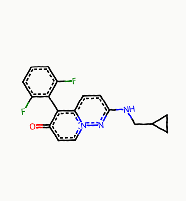 O=c1ccn2nc(NCC3CC3)ccc2c1-c1c(F)cccc1F